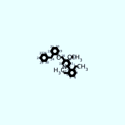 CCc1cccc(CC)c1-c1cc(OC)c(COc2ccccc2Cc2ccccc2)cn1